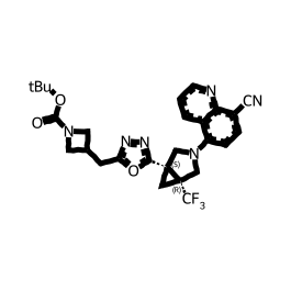 CC(C)(C)OC(=O)N1CC(Cc2nnc([C@]34CN(c5ccc(C#N)c6ncccc56)C[C@@]3(C(F)(F)F)C4)o2)C1